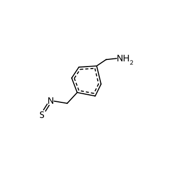 NCc1ccc(CN=S)cc1